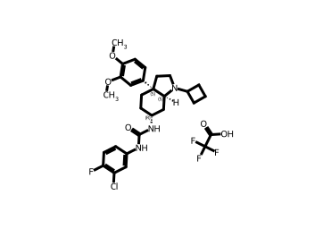 COc1ccc([C@@]23CC[C@@H](NC(=O)Nc4ccc(F)c(Cl)c4)C[C@@H]2N(C2CCC2)CC3)cc1OC.O=C(O)C(F)(F)F